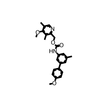 COc1ccc(-c2cc(C)cc(NC(=O)OCc3ncc(C)c(OC)c3C)c2)cc1